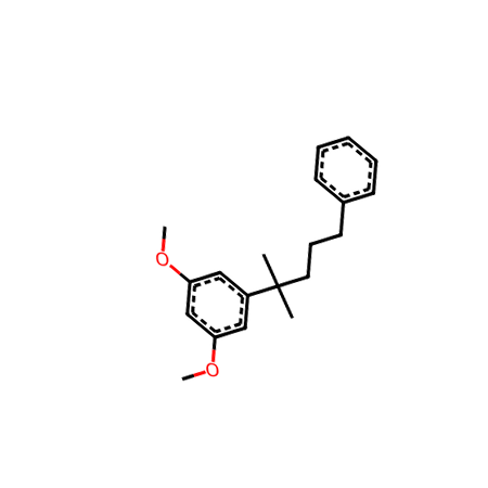 COc1cc(OC)cc(C(C)(C)CCCc2ccccc2)c1